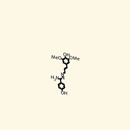 COc1cc(C=CC=NN=C(N)c2ccc(O)cc2)cc(OC)c1O